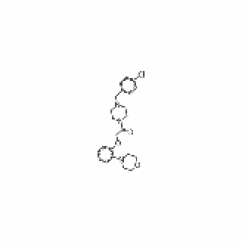 O=C(COc1ccccc1N1CCOCC1)N1CCN(Cc2ccc(Cl)cc2)CC1